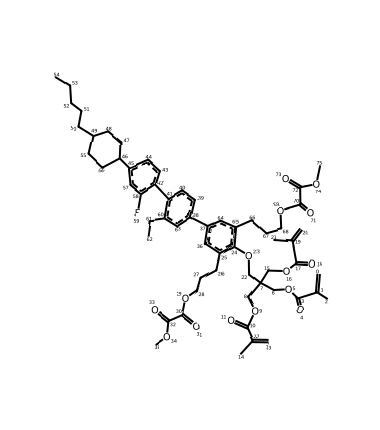 C=C(C)C(=O)OCC(COC(=O)C(=C)C)(COC(=O)C(=C)C)COc1c(CCCOC(=O)C(=O)OC)cc(-c2ccc(-c3ccc(C4CCC(CCCCC)CC4)cc3F)c(CC)c2)cc1CCCOC(=O)C(=O)OC